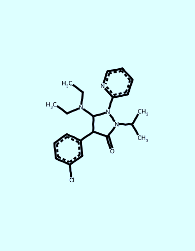 CCN(CC)C1C(c2cccc(Cl)c2)C(=O)N(C(C)C)N1c1ccccn1